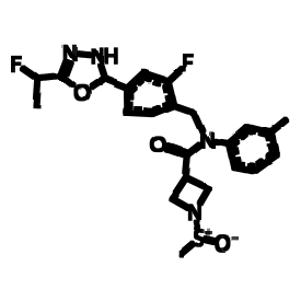 Cc1cccc(N(Cc2ccc(C3NN=C(C(C)F)O3)cc2F)C(=O)C2CN([S+](C)[O-])C2)c1